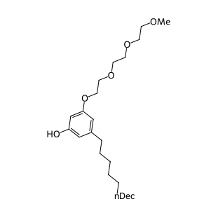 CCCCCCCCCCCCCCCc1cc(O)cc(OCCOCCOCCOC)c1